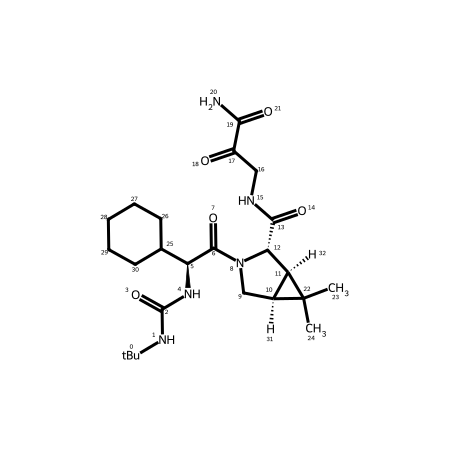 CC(C)(C)NC(=O)N[C@H](C(=O)N1C[C@H]2[C@@H]([C@H]1C(=O)NCC(=O)C(N)=O)C2(C)C)C1CCCCC1